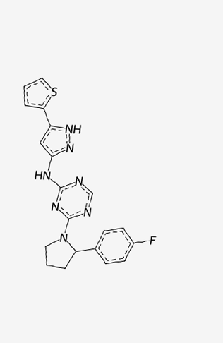 Fc1ccc(C2CCCN2c2ncnc(Nc3cc(-c4cccs4)[nH]n3)n2)cc1